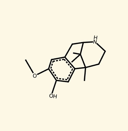 COc1cc2c(cc1O)C1(C)CCNC(C2)C1(C)C